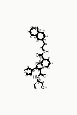 CC[C@@H](CO)NC(=O)c1c(-c2ccsc2)nc2c(C(=O)NCCc3ccc4ncccc4c3)cccn12